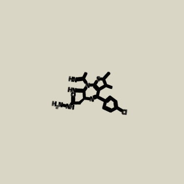 CC(=N)N1C(=N)[C@H](CC(=O)NN)N=C(c2ccc(Cl)cc2)C2=C1SC(C)C2C